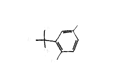 Cc1ccc([SeH])c(C(C)(C)C)c1